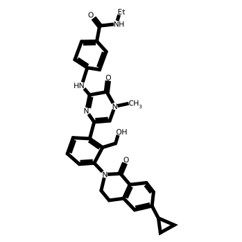 CCNC(=O)c1ccc(Nc2nc(-c3cccc(N4CCc5cc(C6CC6)ccc5C4=O)c3CO)cn(C)c2=O)cc1